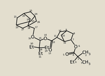 CCC(C)(C)C(=O)OC1CC2CC(C(=O)OC(OCC34CC5CC(CC(C5)C3)C4)C(CC)(CC)CC)C1C2